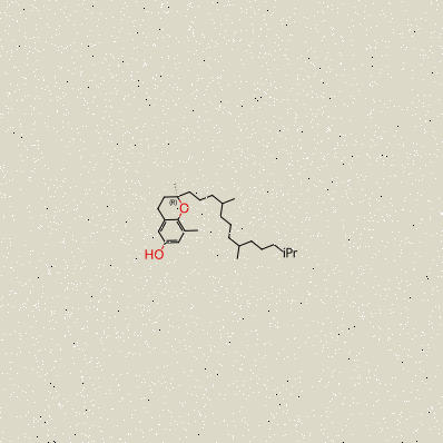 Cc1cc(O)cc2c1O[C@](C)(CCCC(C)CCCC(C)CCCC(C)C)CC2